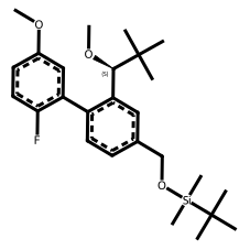 COc1ccc(F)c(-c2ccc(CO[Si](C)(C)C(C)(C)C)cc2[C@@H](OC)C(C)(C)C)c1